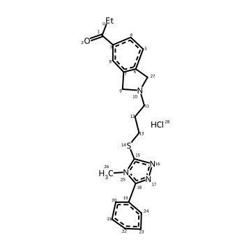 CCC(=O)c1ccc2c(c1)CN(CCCSc1nnc(-c3ccccc3)n1C)C2.Cl